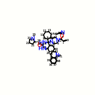 C=CC(=O)N1CCN(C2(C3CCCCCC3)NC(OC[C@@H]3CCCN3C)NC3C[C@]4(CCC32)Cc2ccccc2N(C)C4)C[C@@H]1CC#N